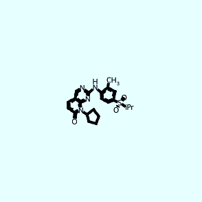 Cc1cc(S(=O)(=O)C(C)C)ccc1Nc1ncc2ccc(=O)n(C3CCCC3)c2n1